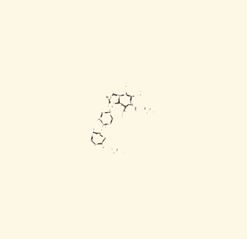 COc1cccc(-c2ccc(-n3ncc4c(F)c(F)c(OC)c(F)c43)cc2)c1